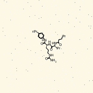 CCCc1ccc(NC(=O)[C@H](CCCNC(N)=O)NC(=O)[C@@H](NC(=O)CCC(C)C)C(C)C)cc1